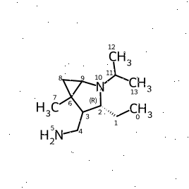 CC[C@@H]1C(CN)C2(C)CC2N1C(C)C